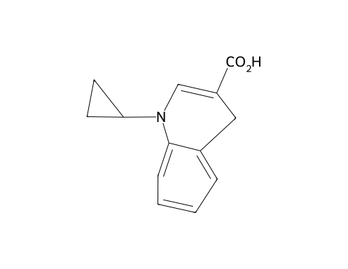 O=C(O)C1=CN(C2CC2)c2ccccc2C1